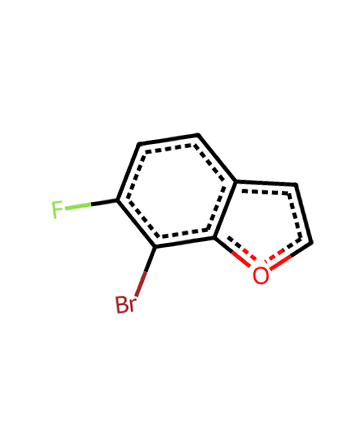 Fc1ccc2ccoc2c1Br